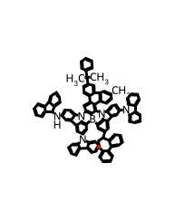 Cc1ccc2c(c1)c1cc(C(C)(C)c3ccccc3)ccc1c1cc3c4c(c21)-n1c2ccc(-n5c6ccccc6c6ccccc65)cc2c2cc(C5CCc6ccccc6-c6ccccc65)cc(c21)B4c1cc(-n2c4ccccc4c4ccccc42)cc2c4cc(NC5c6ccccc6-c6ccccc65)ccc4n-3c12